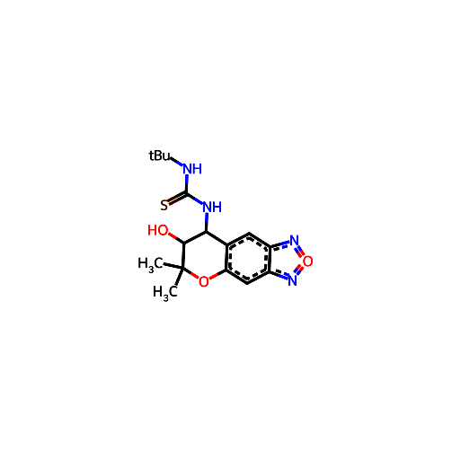 CC(C)(C)NC(=S)NC1c2cc3nonc3cc2OC(C)(C)C1O